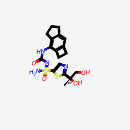 C[C@](O)(CO)c1ncc(S(N)(=O)=NC(=O)Nc2c3c(cc4c2CC4)CCC3)s1